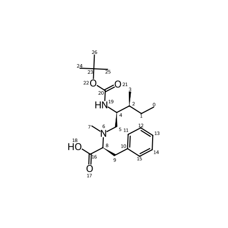 CC[C@H](C)[C@@H](CN(C)[C@@H](Cc1ccccc1)C(=O)O)NC(=O)OC(C)(C)C